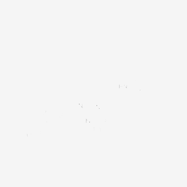 CCCn1c(NC(=O)c2cccc(NS(=O)(=O)c3ccccc3)c2)nc2cc(C(=O)OC(C)(C)C)ccc21